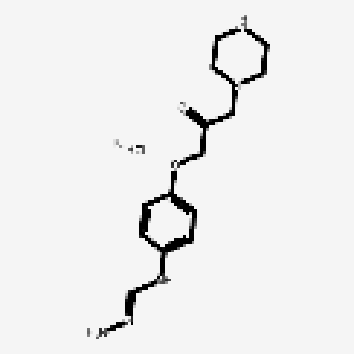 Cl.Cl.NN=CNc1ccc(OCC(=O)CN2CCNCC2)cc1